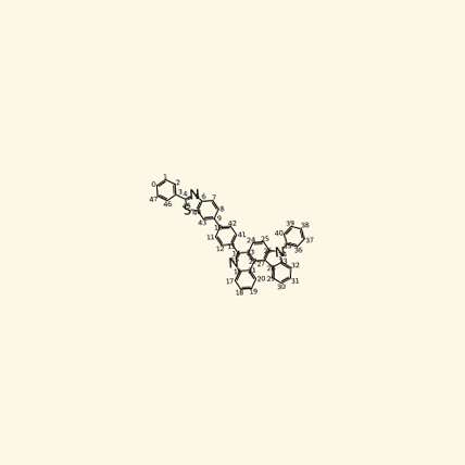 c1ccc(-c2nc3ccc(-c4ccc(-c5nc6ccccc6c6c5ccc5c6c6ccccc6n5-c5ccccc5)cc4)cc3s2)cc1